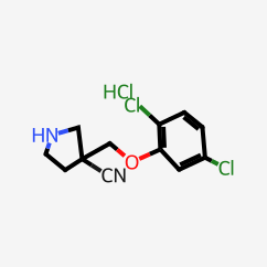 Cl.N#CC1(COc2cc(Cl)ccc2Cl)CCNC1